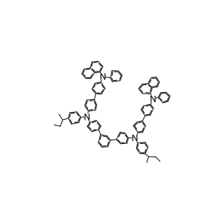 CCC(C)c1ccc(N(c2ccc(-c3ccc(N(c4ccccc4)c4cccc5ccccc45)cc3)cc2)c2ccc(-c3cccc(-c4ccc(N(c5ccc(-c6ccc(N(c7ccccc7)c7cccc8ccccc78)cc6)cc5)c5ccc(C(C)CC)cc5)cc4)c3)cc2)cc1